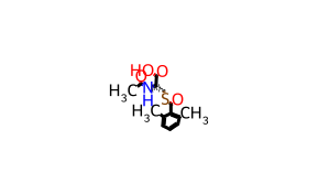 CC(=O)N[C@@H](CSC(=O)c1c(C)cccc1C)C(=O)O